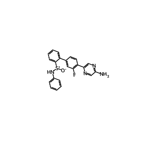 Nc1cnc(-c2ccc(-c3ccccc3[S+]([O-])Nc3ccccc3)cc2F)cn1